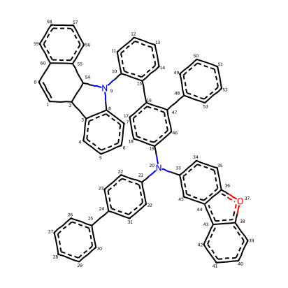 C1=CC2c3ccccc3N(c3ccccc3-c3ccc(N(c4ccc(-c5ccccc5)cc4)c4ccc5oc6ccccc6c5c4)cc3-c3ccccc3)C2c2ccccc21